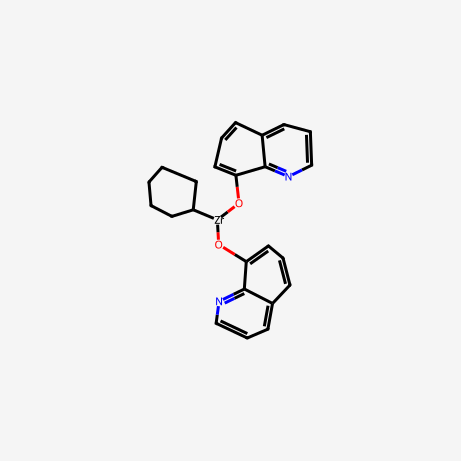 c1cnc2c([O][Zr]([O]c3cccc4cccnc34)[CH]3CCCCC3)cccc2c1